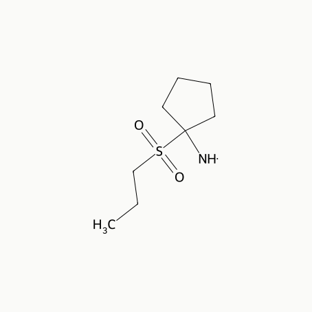 CCCS(=O)(=O)C1([NH])CCCC1